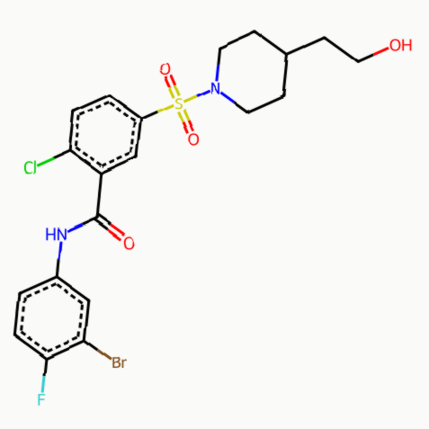 O=C(Nc1ccc(F)c(Br)c1)c1cc(S(=O)(=O)N2CCC(CCO)CC2)ccc1Cl